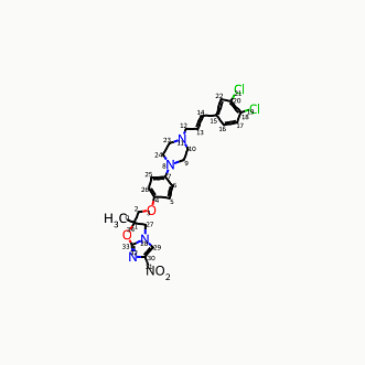 CC1(COc2ccc(N3CCN(CC=Cc4ccc(Cl)c(Cl)c4)CC3)cc2)Cn2cc([N+](=O)[O-])nc2O1